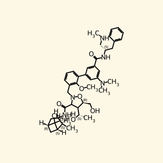 CNC[C@H](Cc1ccccc1)NC(=O)c1cc(-c2cccc(CN3O[C@@H](CO)C([C@H](C)O)C3C(=O)N[C@H]3C[C@H]4C[C@@H]([C@@H]3C)C4(C)C)c2OC)cc(N(C)C)c1